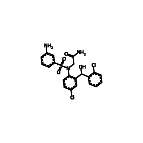 NC(=O)CN(c1ccc(Cl)cc1C(O)c1ccccc1Cl)S(=O)(=O)c1cccc(N)c1